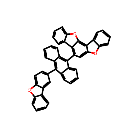 c1ccc2c(c1)oc1ccc(-c3c4ccccc4c(-c4cc5oc6ccccc6c5c5oc6ccccc6c45)c4ccccc34)cc12